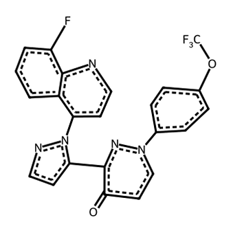 O=c1ccn(-c2ccc(OC(F)(F)F)cc2)nc1-c1ccnn1-c1ccnc2c(F)cccc12